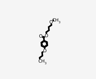 CCCCOc1ccc(C(=O)OCCCCOC)cc1